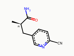 C[C@H]([CH]c1ccc(C#N)nc1)C(N)=O